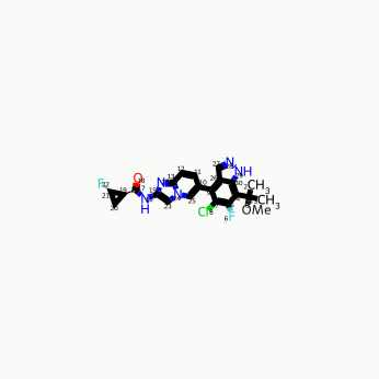 COC(C)(C)c1c(F)c(Cl)c(-c2ccc3nc(NC(=O)[C@@H]4C[C@@H]4F)cn3c2)c2cn[nH]c12